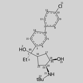 CC[C@](O)(c1ccc(-c2ccc(Cl)cc2)cc1)C1C[C@@H](O)[C@@H](NC(C)(C)C)C1